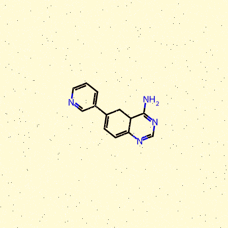 NC1=NC=NC2=CC=C(c3cccnc3)CC21